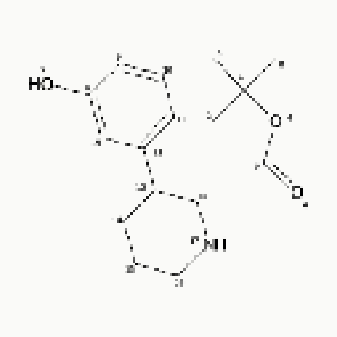 CC(C)(C)OC=O.Oc1cccc(C2CCCNC2)c1